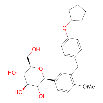 COc1ccc([C@@H]2O[C@H](CO)[C@@H](O)[C@H](O)C2O)cc1Cc1ccc(OC2CCCC2)cc1